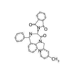 Cc1ccnc(CN2C(=O)[C@H](N3C(=O)c4ccccc4C3=O)N=C(c3ccccc3)c3ccccc32)c1